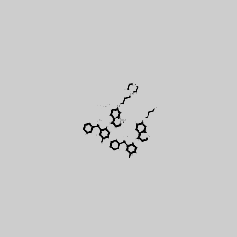 COc1cc2c(Oc3ccc(C)cc3C(=O)c3ccccc3)ccnc2cc1OCCCCl.COc1cc2c(Oc3ccc(C)cc3C(=O)c3ccccc3)ccnc2cc1OCCCN1CCNCC1